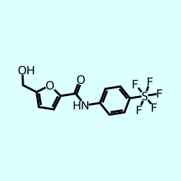 O=C(Nc1ccc(S(F)(F)(F)(F)F)cc1)c1ccc(CO)o1